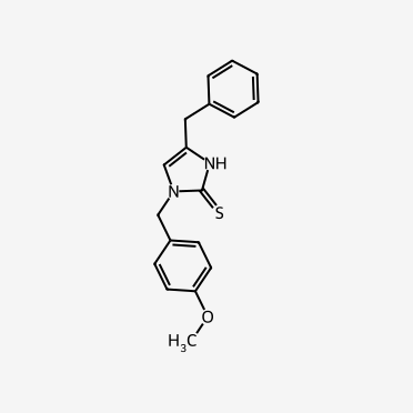 COc1ccc(Cn2cc(Cc3ccccc3)[nH]c2=S)cc1